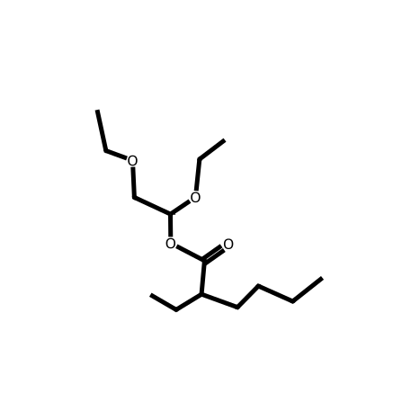 CCCCC(CC)C(=O)O[C](COCC)OCC